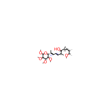 CO[C@H]1O[C@H](/C(C)=C/C=C/[C@H](C)[C@@H](O)[C@H]2C[C@@H]2[C@H](C)[C@H](C)OC)[C@@H](OC)[C@H](OC)[C@H]1OC